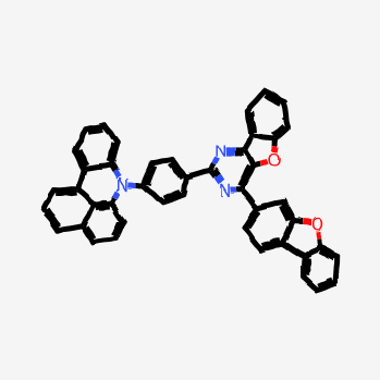 c1ccc2c(c1)-c1cccc3cccc(c13)N2c1ccc(-c2nc(-c3ccc4c(c3)oc3ccccc34)c3oc4ccccc4c3n2)cc1